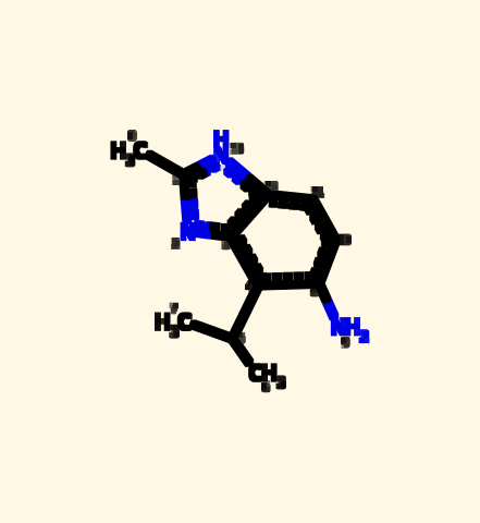 Cc1nc2c(C(C)C)c(N)ccc2[nH]1